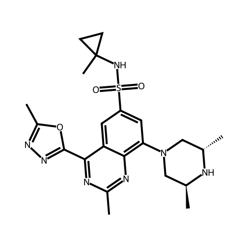 Cc1nc(-c2nnc(C)o2)c2cc(S(=O)(=O)NC3(C)CC3)cc(N3C[C@H](C)N[C@@H](C)C3)c2n1